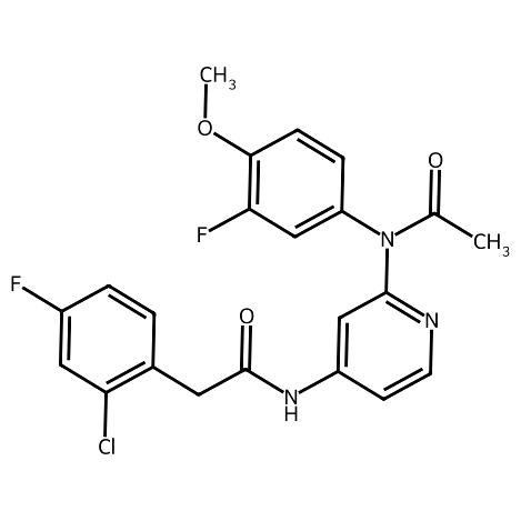 COc1ccc(N(C(C)=O)c2cc(NC(=O)Cc3ccc(F)cc3Cl)ccn2)cc1F